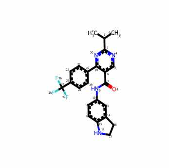 CC(C)c1ncc(C(=O)Nc2ccc3c(c2)CCN3)c(-c2ccc(C(F)(F)F)cc2)n1